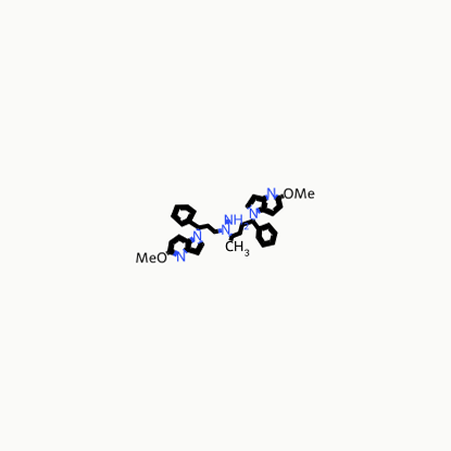 COc1ccc2c(ccn2C(CCC(C)N(N)CCC(c2ccccc2)n2ccc3nc(OC)ccc32)c2ccccc2)n1